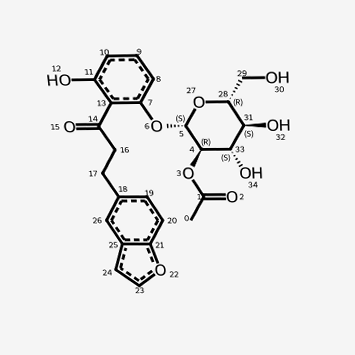 CC(=O)O[C@H]1[C@H](Oc2cccc(O)c2C(=O)CCc2ccc3occc3c2)O[C@H](CO)[C@@H](O)[C@@H]1O